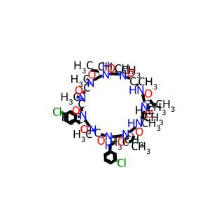 CCC(C)[C@@H]1NC(=O)[C@H](C)N(C)C(=O)C[C@@H](C)NC(=O)[C@H](CC(C)C)N(C)C(=O)C(C)(C)NC(=O)[C@H](CC(C)C)N(C)C(=O)[C@H](CCc2cccc(Cl)c2)NC(=O)CN(C)C(=O)[C@H](Cc2ccc(Cl)cc2)N(C)C(=O)CN(C)C(=O)CN(C)C1=O